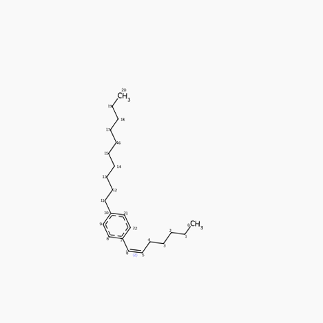 CCCCC/C=[C]\c1ccc(CCCCCCCCCC)cc1